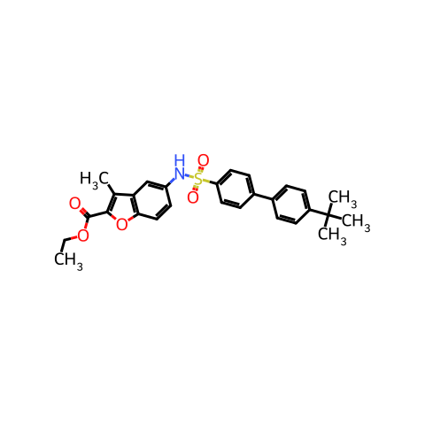 CCOC(=O)c1oc2ccc(NS(=O)(=O)c3ccc(-c4ccc(C(C)(C)C)cc4)cc3)cc2c1C